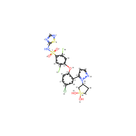 O=S(=O)(Nc1ncns1)c1cc(F)c(Oc2ccc(Cl)cc2-c2ccnn2C2CCS(O)(O)C2)cc1F